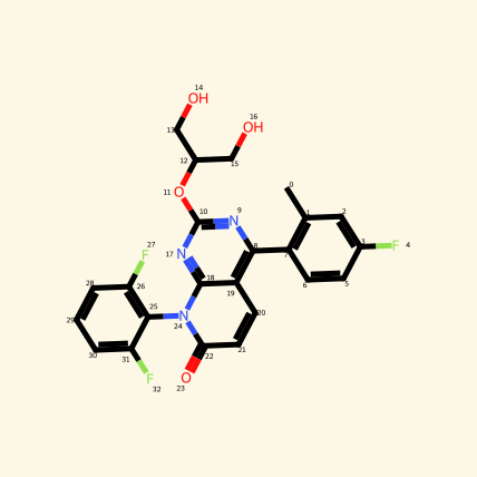 Cc1cc(F)ccc1-c1nc(OC(CO)CO)nc2c1ccc(=O)n2-c1c(F)cccc1F